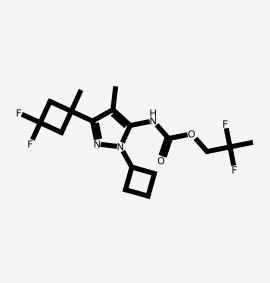 Cc1c(C2(C)CC(F)(F)C2)nn(C2CCC2)c1NC(=O)OCC(C)(F)F